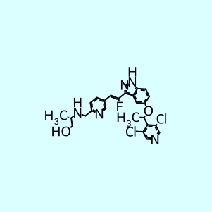 CC(Oc1ccc2[nH]nc(/C(F)=C/c3ccc(CN[C@@H](C)CO)nc3)c2c1)c1c(Cl)cncc1Cl